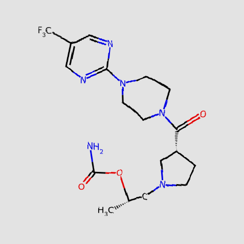 C[C@@H](CN1CC[C@@H](C(=O)N2CCN(c3ncc(C(F)(F)F)cn3)CC2)C1)OC(N)=O